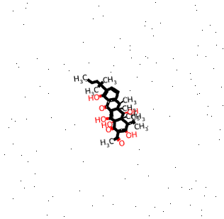 CCCC(C)(C)c1ccc2c(c1O)C(=O)C1=C(O)[C@@]3(O)C(=O)C(C(C)=O)=C(O)C(C(C)C)[C@@]3(C)[C@H](O)[C@@]1(C)[C@@H]2C